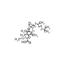 CCCCC(Oc1c(C)c(C)c2c(c1C)CCC(C)(C=CCC(C)CCCC(C)C)O2)C(=O)O